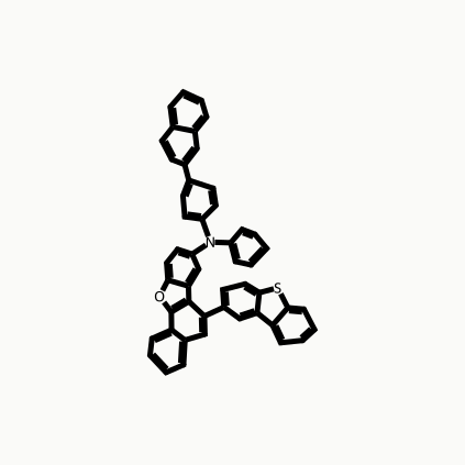 c1ccc(N(c2ccc(-c3ccc4ccccc4c3)cc2)c2ccc3oc4c5ccccc5cc(-c5ccc6sc7ccccc7c6c5)c4c3c2)cc1